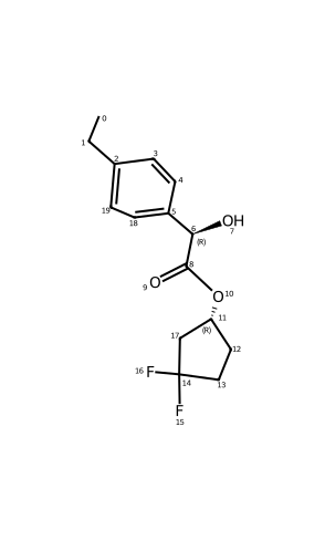 CCc1ccc([C@@H](O)C(=O)O[C@@H]2CCC(F)(F)C2)cc1